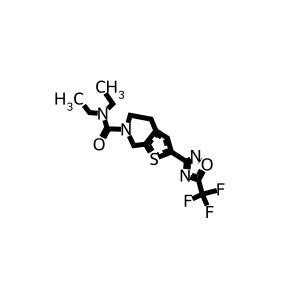 CCN(CC)C(=O)N1CCc2cc(-c3noc(C(F)(F)F)n3)sc2C1